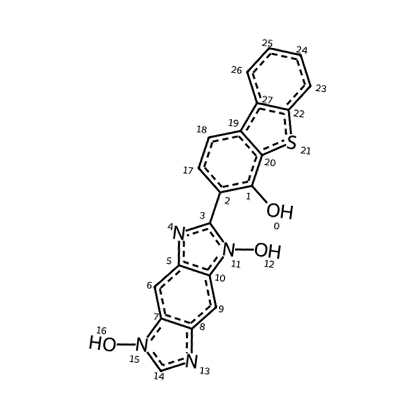 Oc1c(-c2nc3cc4c(cc3n2O)ncn4O)ccc2c1sc1ccccc12